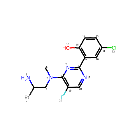 CCC(N)CN(C)c1nc(-c2cc(Cl)ccc2O)ncc1F